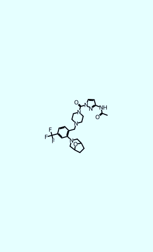 CC(=O)Nc1ccn(C(=O)N2CCN(Cc3ccc(C(F)(F)F)cc3N3CC4CCC(C3)O4)CC2)n1